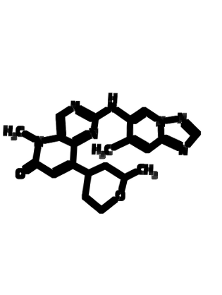 Cc1cc2ncnn2cc1Nc1ncc2c(n1)c(C1CCOC(C)C1)cc(=O)n2C